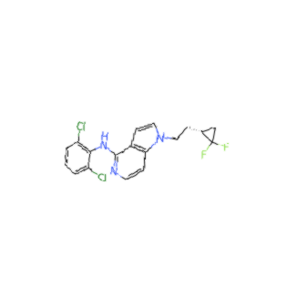 FC1(F)C[C@H]1CCn1ccc2c(Nc3c(Cl)cccc3Cl)nccc21